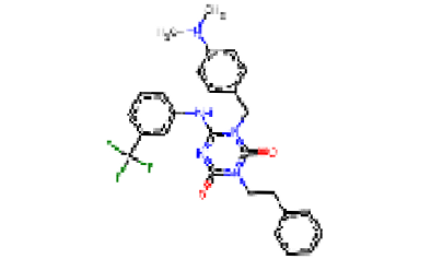 CN(C)c1ccc(Cn2c(Nc3cccc(C(F)(F)F)c3)nc(=O)n(CCc3ccccc3)c2=O)cc1